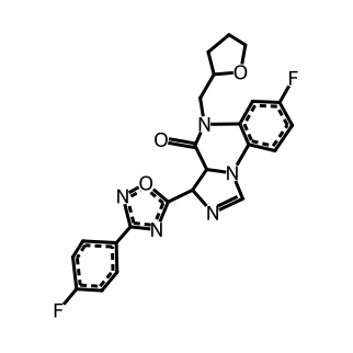 O=C1C2C(c3nc(-c4ccc(F)cc4)no3)N=CN2c2ccc(F)cc2N1CC1CCCO1